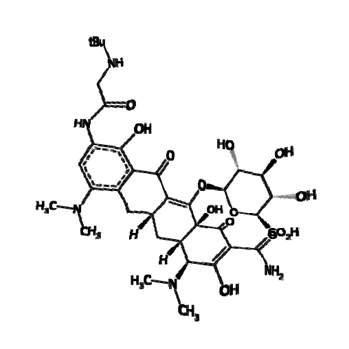 CN(C)c1cc(NC(=O)CNC(C)(C)C)c(O)c2c1C[C@H]1C[C@H]3[C@H](N(C)C)C(O)=C(C(N)=O)C(=O)[C@@]3(O)C(O[C@@H]3O[C@H](C(=O)O)[C@@H](O)[C@H](O)[C@H]3O)=C1C2=O